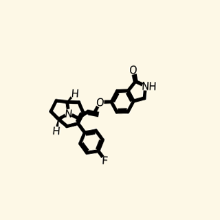 C=CCN1[C@@H]2CC[C@H]1CC(c1ccc(F)cc1)=C(COc1ccc3c(c1)C(=O)NC3)C2